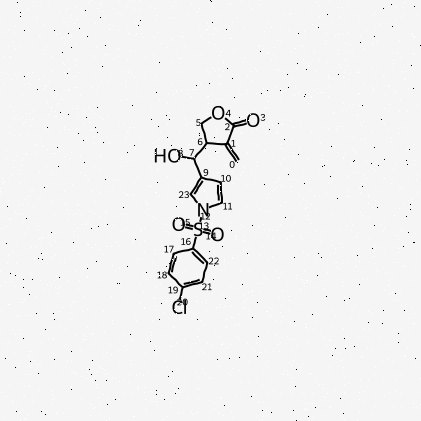 C=C1C(=O)OCC1C(O)c1ccn(S(=O)(=O)c2ccc(Cl)cc2)c1